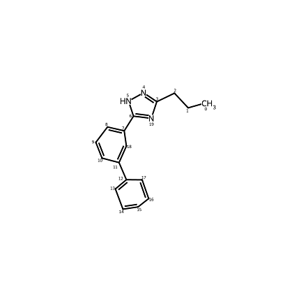 CCCc1n[nH]c(-c2cccc(-c3ccccc3)c2)n1